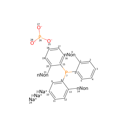 CCCCCCCCCc1ccccc1P(c1ccccc1CCCCCCCCC)c1ccccc1CCCCCCCCC.[Na+].[Na+].[Na+].[O-]P([O-])[O-]